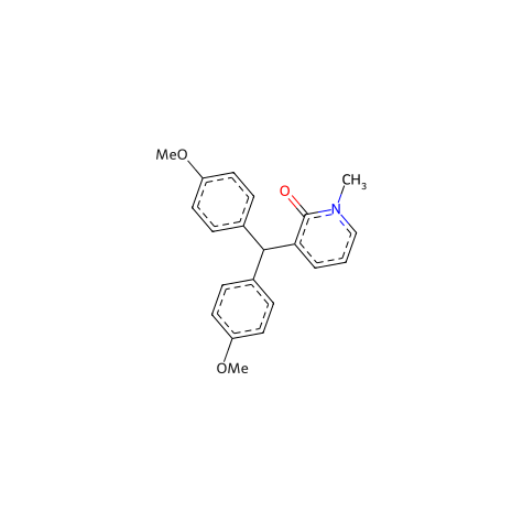 COc1ccc(C(c2ccc(OC)cc2)c2cccn(C)c2=O)cc1